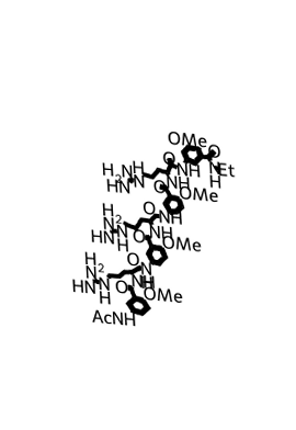 CCNC(=O)c1cc(NC(=O)C(CCCNC(=N)N)NC(=O)c2cc(NC(=O)C(CCCNC(=N)N)NC(=O)c3cc(NC(=O)C(CCCNC(=N)N)NC(=O)c4cc(NC(C)=O)ccc4OC)ccc3OC)ccc2OC)ccc1OC